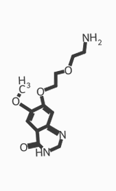 COC1=CC2C(=O)NCN=C2C=C1OCCOCCN